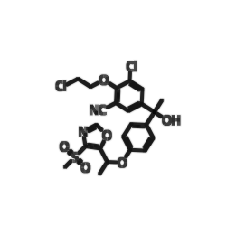 CC(Oc1ccc(C(C)(O)c2cc(Cl)c(OCCCl)c(C#N)c2)cc1)c1ocnc1S(C)(=O)=O